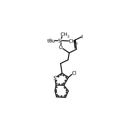 CC(C)(C)[Si](C)(C)OC(C=CI)CCc1sc2ccccc2c1Cl